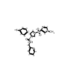 Cn1cnc(S(=O)(=O)N2C[C@@H](C(=O)NCc3ccccn3)[C@H](c3ccc(F)cc3)C2)c1